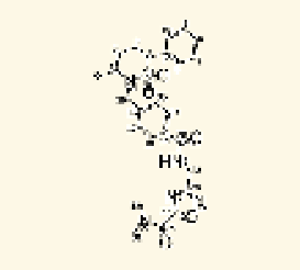 CC1CCC(c2ccccc2)S(=O)(=O)N1Cc1ccc(C(=O)NCc2noc(C(=O)N(C)C)n2)cc1